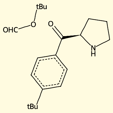 CC(C)(C)OC=O.CC(C)(C)c1ccc(C(=O)[C@H]2CCCN2)cc1